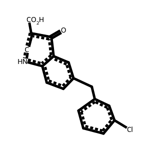 O=C(O)c1c[nH]c2ccc(Cc3cccc(Cl)c3)cc2c1=O